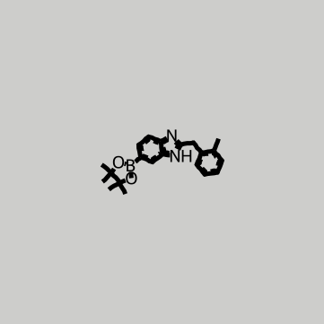 Cc1ccccc1Cc1nc2ccc(B3OC(C)(C)C(C)(C)O3)cc2[nH]1